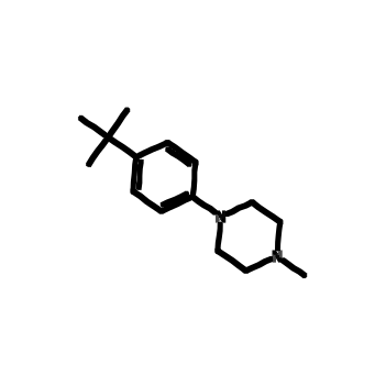 CN1CCN(c2ccc(C(C)(C)C)cc2)CC1